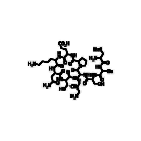 CCC(C)C(NC(=O)C(N)CSC)C(=O)NC(CO)C(=O)NC(CCCCN)C(=O)N1CCCC1C(=O)NC(CCC(=O)O)C(=O)NC(CCCCN)C(=O)NC(CC(N)=O)C(=O)N[C@@H](C(N)=O)[C@H](C)O